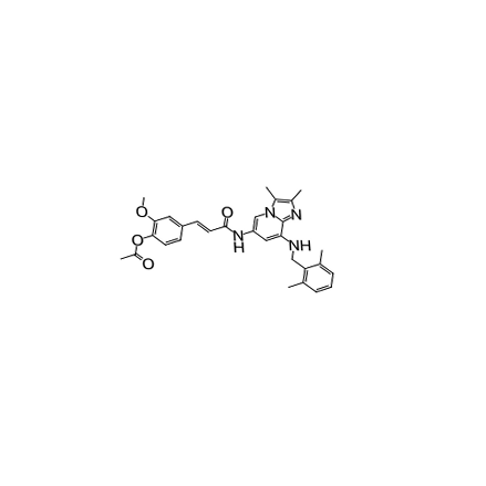 COc1cc(/C=C/C(=O)Nc2cc(NCc3c(C)cccc3C)c3nc(C)c(C)n3c2)ccc1OC(C)=O